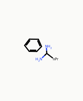 CCCC(N)N.c1ccccc1